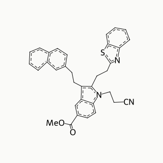 COC(=O)c1ccc2c(c1)c(CCc1ccc3ccccc3c1)c(CCc1nc3ccccc3s1)n2CCC#N